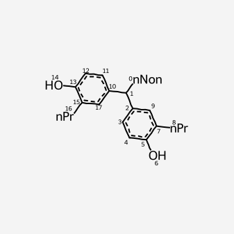 CCCCCCCCCC(c1ccc(O)c(CCC)c1)c1ccc(O)c(CCC)c1